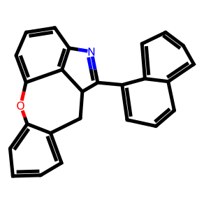 c1ccc2c(c1)CC1C(c3cccc4ccccc34)=Nc3cccc(c31)O2